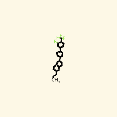 CCCc1ccc2cc(-c3ccc(-c4ccc(C(F)(F)F)c(F)c4)cc3)ccc2c1